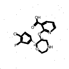 O=C(O)c1cccnc1O[C@H]1CNCCO[C@@H]1c1ccc(Cl)c(F)c1